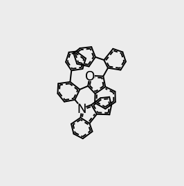 c1ccc(-c2ccccc2-c2oc(-c3c(-c4ccccc4)cccc3-n3c4ccccc4c4ccccc43)c3ccccc23)cc1